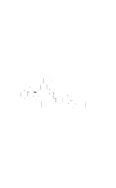 Cc1ccc2c(c1)C(=O)c1cc(N=Nc3c(O)c(C(=O)Nc4ccccc4Cl)cc4ccccc34)ccc1-2